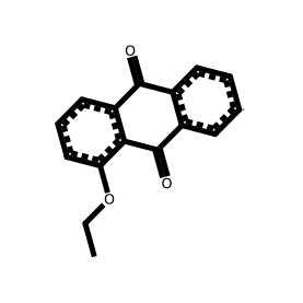 CCOc1cccc2c1C(=O)c1c[c]ccc1C2=O